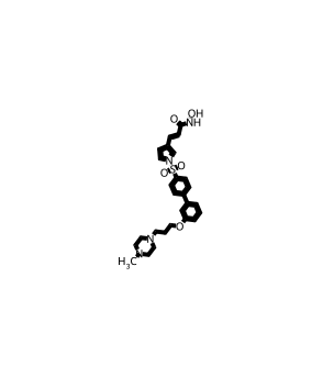 CN1CCN(CCCOc2cccc(-c3ccc(S(=O)(=O)n4ccc(C=CC(=O)NO)c4)cc3)c2)CC1